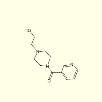 O=C(c1cc[c]nc1)N1CCN(CCO)CC1